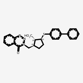 O=C(O)[C@H]1[C@H](Cn2nnc3ccccc3c2=O)CC[C@@H]1Sc1ccc(-c2ccccc2)cc1